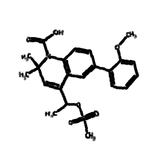 COc1ccccc1-c1ccc2c(c1)C(C(C)OS(C)(=O)=O)=CC(C)(C)N2C(=O)O